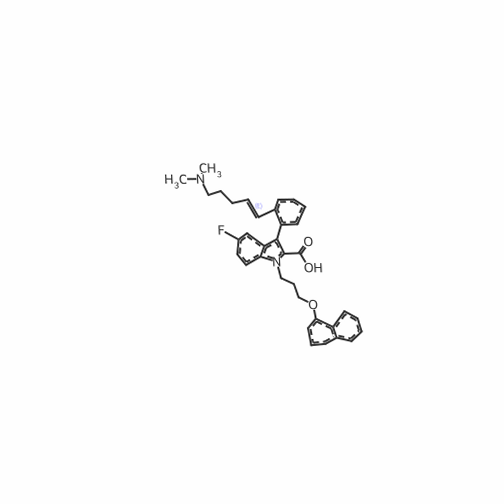 CN(C)CCC/C=C/c1ccccc1-c1c(C(=O)O)n(CCCOc2cccc3ccccc23)c2ccc(F)cc12